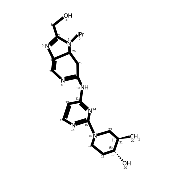 CC(C)N1C(CO)=NC2=CN=C(Nc3ccnc(N4CC[C@@H](O)[C@H](C)C4)n3)CC21